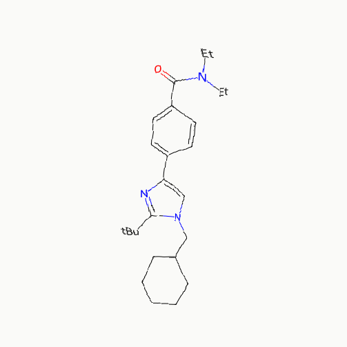 CCN(CC)C(=O)c1ccc(-c2cn(CC3CCCCC3)c(C(C)(C)C)n2)cc1